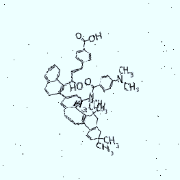 CN(C)c1ccc(C(=O)N(C)c2cc(-c3ccc4ccccc4c3C(O)C=Cc3ccc(C(=O)O)cc3)cc3ccc4c(c23)C(C)(C)CC2=C4C=CC(C)(C)C2)cc1